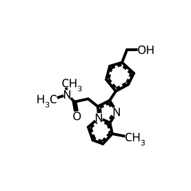 Cc1cccn2c(CC(=O)N(C)C)c(-c3ccc(CO)cc3)nc12